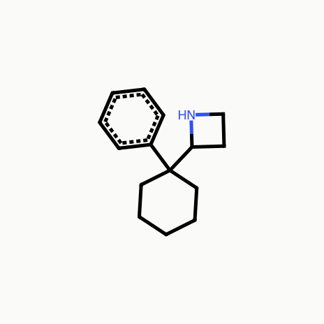 c1ccc(C2(C3CCN3)CCCCC2)cc1